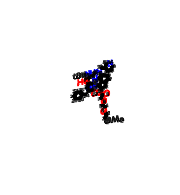 COCCOCCOCC(=O)O[C@@H]1Cc2ccccc2[C@@H]1NC(=O)[C@H](Cc1ccccc1)C[C@H](O)CN1CCN(Cc2cccnc2)C[C@H]1C(=O)NC(C)(C)C